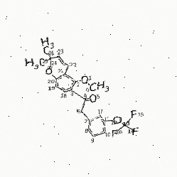 COc1c(C(=O)Cc2cccc(OC(F)(F)F)c2)ccc2c1C=CC(C)(C)O2